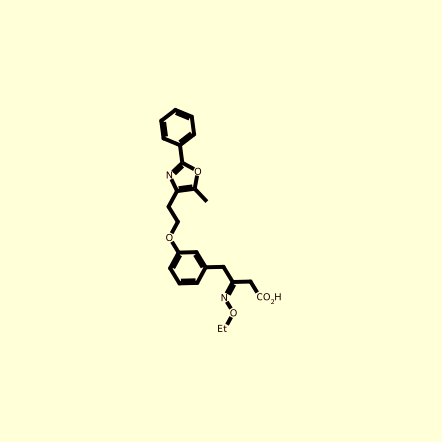 CCON=C(CC(=O)O)Cc1cccc(OCCc2nc(-c3ccccc3)oc2C)c1